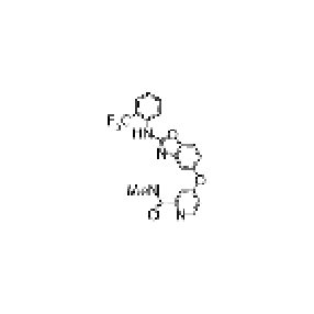 CNC(=O)c1cc(Oc2ccc3oc(Nc4ccccc4C(F)(F)F)nc3c2)ccn1